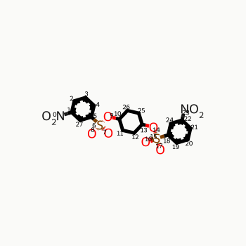 O=[N+]([O-])c1cccc(S(=O)(=O)OC2CCC(OS(=O)(=O)c3cccc([N+](=O)[O-])c3)CC2)c1